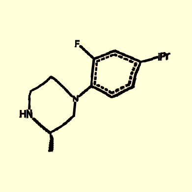 CC(C)c1ccc(N2CCN[C@H](C)C2)c(F)c1